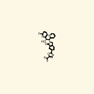 O=C1c2cc(-c3nnc(C(F)F)o3)ccc2CN1[C@@H](c1ccccn1)[C@H](O)c1cccc(F)n1